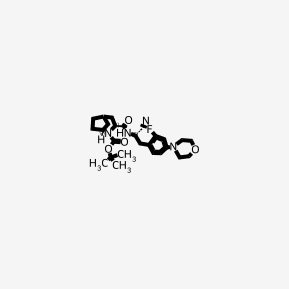 CC(C)(C)OC(=O)N1[C@H]2CCC(C2)C[C@H]1C(=O)N[C@H](C#N)Cc1ccc(N2CCOCC2)cc1F